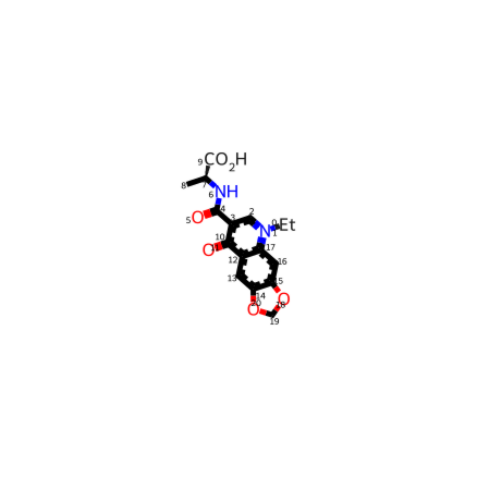 CCn1cc(C(=O)N[C@@H](C)C(=O)O)c(=O)c2cc3c(cc21)OCO3